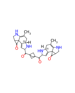 CC1=C2NCC3C(=O)C23C2=CC(C(=O)C34CC(C(=O)C5C=C6[C@H](CC(C)=C7NCC8C(=O)C678)N5)(C3)C4)N[C@H]2C1